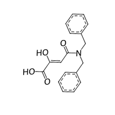 O=C(O)/C(O)=C/C(=O)N(Cc1ccccc1)Cc1ccccc1